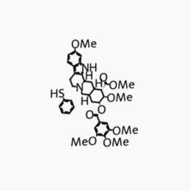 COC(=O)[C@H]1[C@H]2C[C@@H]3c4[nH]c5cc(OC)ccc5c4CCN3C[C@H]2C[C@@H](OC(=O)c2cc(OC)c(OC)c(OC)c2)[C@@H]1OC.Sc1ccccc1